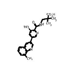 Cc1cccc2cc(-c3cnc(C(=O)NCC(C)(C)C(=O)O)c(O)c3)cnc12